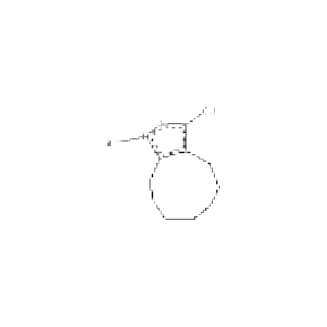 Cc1nn(C(C)C)c2c1CCCCCCC2